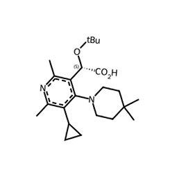 Cc1nc(C)c([C@H](OC(C)(C)C)C(=O)O)c(N2CCC(C)(C)CC2)c1C1CC1